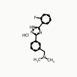 CN(C)Cc1cccc(-c2n[nH]c(-c3ccccc3F)n2)c1.Cl